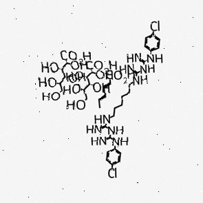 CC=CC=CC(=O)O.N=C(NCCCCCCNC(=N)NC(=N)Nc1ccc(Cl)cc1)NC(=N)Nc1ccc(Cl)cc1.O=C(O)[C@H](O)[C@@H](O)[C@H](O)[C@H](O)CO.O=C(O)[C@H](O)[C@@H](O)[C@H](O)[C@H](O)CO